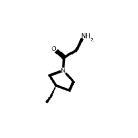 C[C@@H]1CCN(C(=O)CN)C1